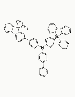 CC1(C)c2ccccc2-c2ccc(-c3ccc(N(c4ccc(-c5ccccc5)cc4)c4ccc([Si](c5ccccc5)(c5ccccc5)c5ccccc5)cc4)cc3)cc21